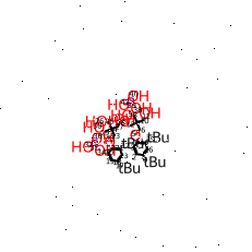 CC(C)(C)c1ccc(OCC(CO)(CO)CO)c(C(C)(C)C)c1.CC(C)(C)c1ccc(OCC(CO)(CO)CO)c(C(C)(C)C)c1.OP(O)O.OP(O)O